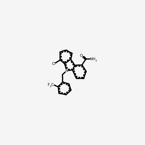 NC(=O)c1cccc2c1c1[c]ccc(Cl)c1n2Cc1ccccc1C(F)(F)F